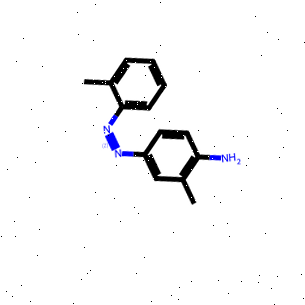 Cc1cc(/N=N\c2ccccc2C)ccc1N